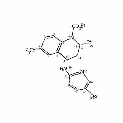 CCOC(=O)N1c2ccc(C(F)(F)F)cc2[C@@H](Nc2ccc(Br)cn2)C[C@H]1CC